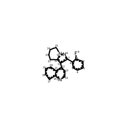 Fc1ccccc1-c1nn2c(c1-c1ccnc3ccccc13)CCCC2